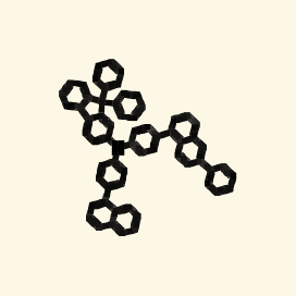 c1ccc(-c2ccc3c(-c4ccc(N(c5ccc(-c6cccc7ccccc67)cc5)c5ccc6c(c5)C(c5ccccc5)(c5ccccc5)c5ccccc5-6)cc4)cccc3c2)cc1